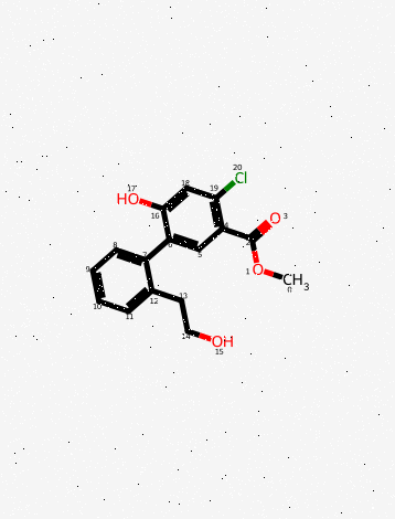 COC(=O)c1cc(-c2ccccc2CCO)c(O)cc1Cl